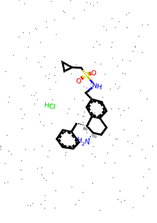 Cl.N[C@H]1CCc2ccc(CNS(=O)(=O)CC3CC3)cc2[C@H]1Cc1ccccc1